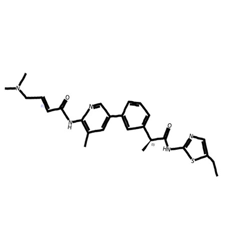 CCc1cnc(NC(=O)[C@@H](C)c2cccc(-c3cnc(NC(=O)/C=C/CN(C)C)c(C)c3)c2)s1